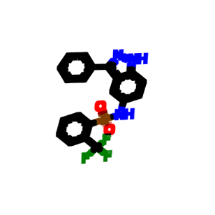 O=S(=O)(Nc1ccc2[nH]nc(-c3ccccc3)c2c1)c1ccccc1C(F)(F)F